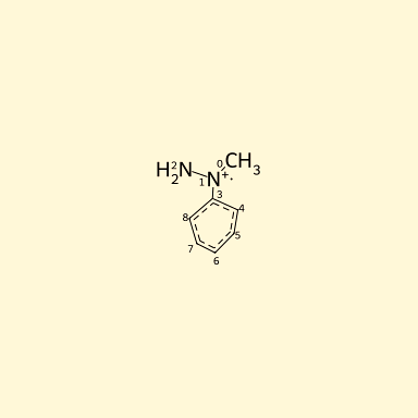 C[N+](N)c1ccccc1